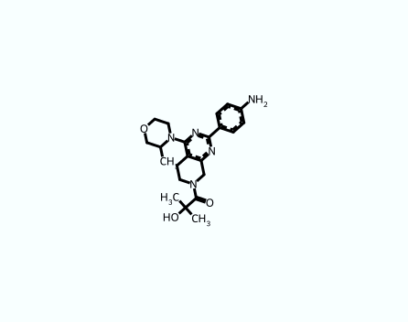 CC1COCCN1c1nc(-c2ccc(N)cc2)nc2c1CCN(C(=O)C(C)(C)O)C2